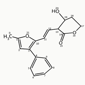 Cc1cc(-c2ccccc2)c(C=CC2C(=O)OCCC2O)o1